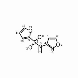 O=S(=O)(Nc1ccon1)c1ccco1